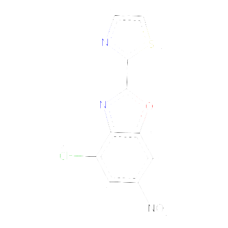 O=[N+]([O-])c1cc(Cl)c2nc(-c3nccs3)oc2c1